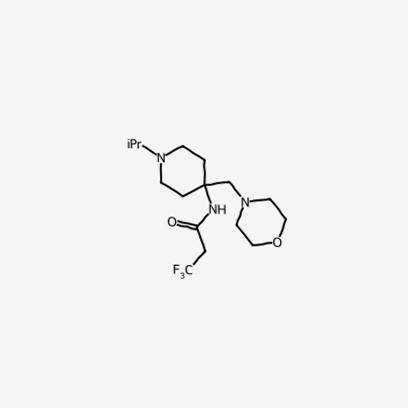 CC(C)N1CCC(CN2CCOCC2)(NC(=O)CC(F)(F)F)CC1